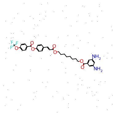 Nc1cc(N)cc(C(=O)OCCCCCCCCOC(=O)C=Cc2ccc(OC(=O)c3ccc(OC(F)(F)F)cc3)cc2)c1